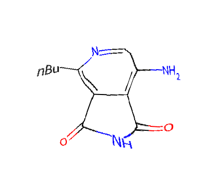 CCCCc1ncc(N)c2c1C(=O)NC2=O